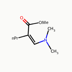 CCCC(=CN(C)C)C(=O)OC